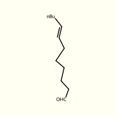 CCCC/C=C/CCCCCC=O